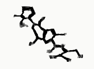 CCN(C=O)/C(CO)=N\N(C)c1cc2c(C(C)C)cn(-c3cccc(F)c3C)c(=O)c2cc1F